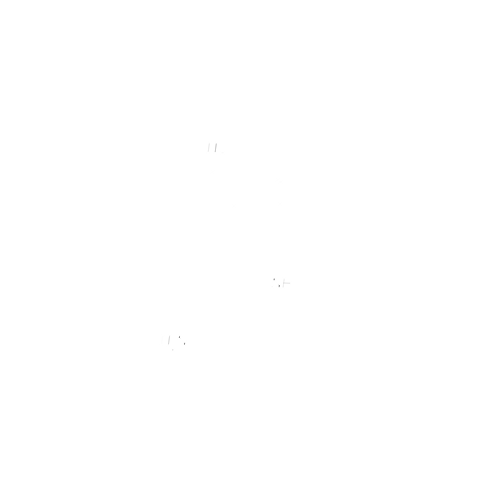 COc1ccc(Nc2ccc(N)cc2)cc1-c1cccc(CC=O)c1.Cl